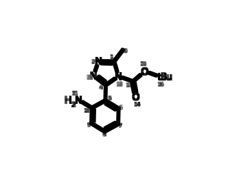 Cc1nnc(-c2ccccc2N)n1C(=O)OC(C)(C)C